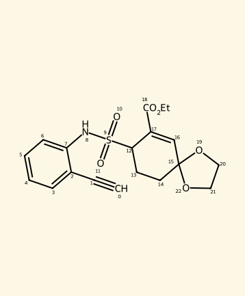 C#Cc1ccccc1NS(=O)(=O)C1CCC2(C=C1C(=O)OCC)OCCO2